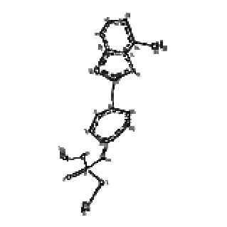 CCOP(=O)(Cc1ccc(-c2nc3c(C)cccc3o2)cc1)OCC